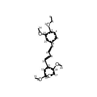 CCOc1ccc(C=CC=Cc2cc(OC)ccc2OC)cc1OC